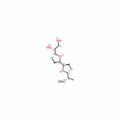 CCCCCCCCCC[C@@H](C)[C@H]1CC[C@H]([C@H]2CC[C@H]([C@H](O)CO)O2)O1